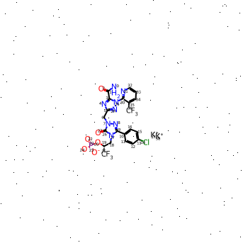 NC(=O)c1nc(Cn2nc(-c3ccc(Cl)cc3)n(C[C@H](OP(=O)([O-])[O-])C(F)(F)F)c2=O)nn1-c1ncccc1C(F)(F)F.[K+].[K+]